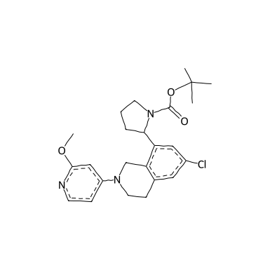 COc1cc(N2CCc3cc(Cl)cc(C4CCCN4C(=O)OC(C)(C)C)c3C2)ccn1